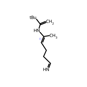 C=C(N/C(C)=C/CCC=N)C(C)(C)C